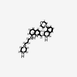 c1cc2c(c(N3CCOCC3)c1)C[C@H](Cc1ccc3c(n1)C(NCCCN1CCNCC1)CCC3)NC2